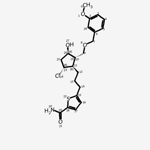 COc1cccc(COC[C@@H]2[C@@H](CCCc3ccc(C(N)=O)s3)[C@H](Cl)C[C@H]2O)c1